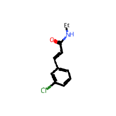 CCNC(=O)/C=C/c1cccc(Cl)c1